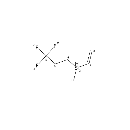 C=C[SiH](C)CCC(F)(F)F